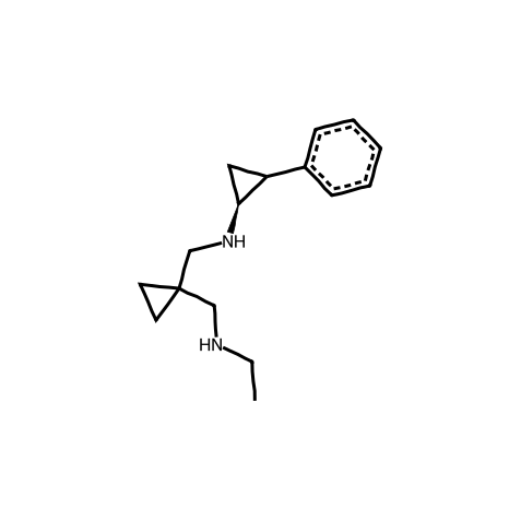 CCNCC1(CN[C@H]2CC2c2ccccc2)CC1